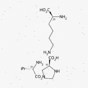 CC(C)[C@H](N)C(=O)O.NCCCC[C@H](N)C(=O)O.O=C(O)[C@@H]1CCCN1